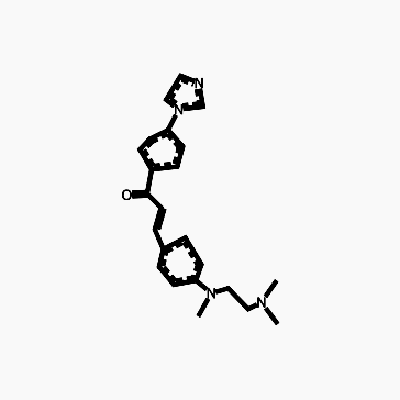 CN(C)CCN(C)c1ccc(C=CC(=O)c2ccc(-n3ccnc3)cc2)cc1